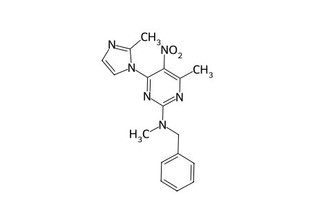 Cc1nc(N(C)Cc2ccccc2)nc(-n2ccnc2C)c1[N+](=O)[O-]